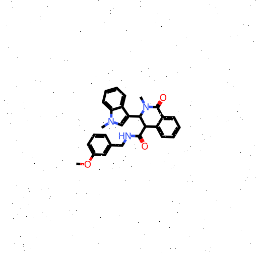 COc1cccc(CNC(=O)C2c3ccccc3C(=O)N(C)C2c2cn(C)c3ccccc23)c1